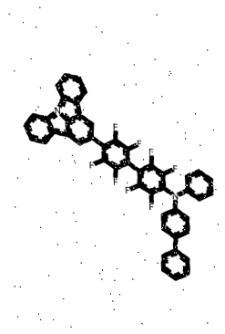 Fc1c(F)c(-c2c(F)c(F)c(N(c3ccccc3)c3ccc(-c4ccccc4)cc3)c(F)c2F)c(F)c(F)c1-c1cc2c3ccccc3n3c4ccccc4c(c1)c23